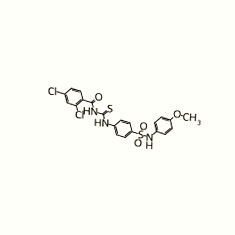 COc1ccc(NS(=O)(=O)c2ccc(NC(=S)NC(=O)c3ccc(Cl)cc3Cl)cc2)cc1